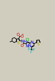 COC(=O)c1c(NC(=O)c2nn3c(C(F)(F)F)cc(-c4cccs4)nc3c2Cl)sc2c1CCC(C)C2